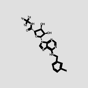 [2H]C([2H])([2H])NC(=O)[C@H]1O[C@@H](n2cnc3c(NCc4cccc(I)c4)ncnc32)[C@H](O)[C@@H]1O